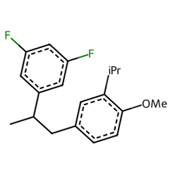 COc1ccc(CC(C)c2cc(F)cc(F)c2)cc1C(C)C